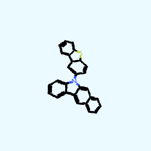 C1=CC2Sc3ccccc3C2C=C1n1c2ccccc2c2cc3ccccc3cc21